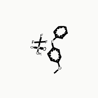 COc1ccc([I+]c2ccccc2)cc1.O=S(=O)(O)C(F)(F)F